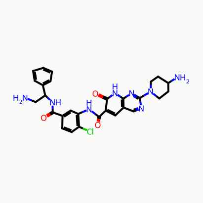 NCC(NC(=O)c1ccc(Cl)c(NC(=O)c2cc3cnc(N4CCC(N)CC4)nc3[nH]c2=O)c1)c1ccccc1